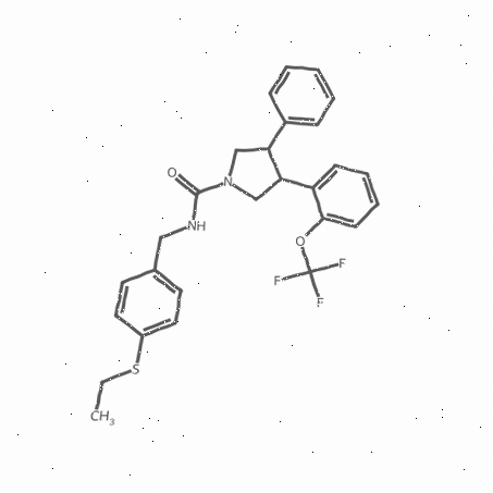 CCSc1ccc(CNC(=O)N2CC(c3ccccc3)C(c3ccccc3OC(F)(F)F)C2)cc1